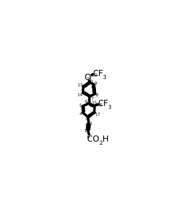 O=C(O)C#Cc1ccc(-c2ccc(OC(F)(F)F)cc2)c(C(F)(F)F)c1